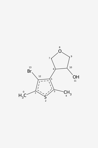 Cc1sc(C)c(C2COCC2O)c1Br